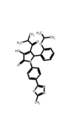 Cc1nnc(-c2ccc(N3C(=O)C(O)=C(C(=O)C(C)C)C3c3ccccc3OC(C)C)cc2)o1